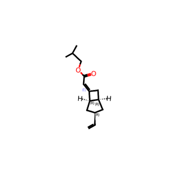 C=C[C@@H]1C[C@@H]2C/C(=C\C(=O)OCC(C)C)[C@@H]2C1